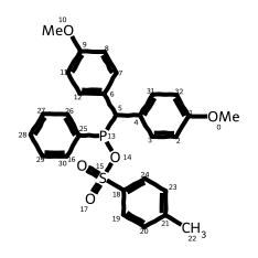 COc1ccc(C(c2ccc(OC)cc2)P(OS(=O)(=O)c2ccc(C)cc2)c2ccccc2)cc1